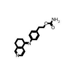 NC(=O)OCCc1ccc(/N=C2\CCCc3cnccc32)cc1